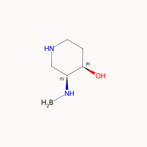 BN[C@H]1CNCC[C@H]1O